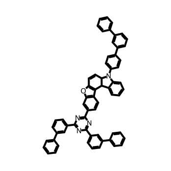 C1=CC2C(c3ccccc3N2c2ccc(-c3cccc(-c4ccccc4)c3)cc2)c2c1oc1cc(-c3nc(-c4cccc(-c5ccccc5)c4)nc(-c4cccc(-c5ccccc5)c4)n3)ccc21